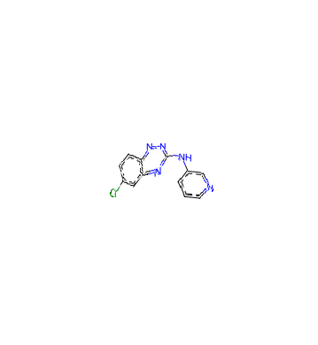 Clc1ccc2nnc(Nc3cccnc3)nc2c1